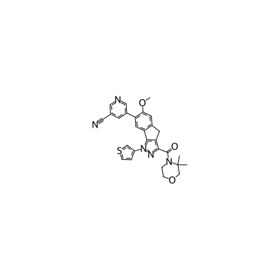 COc1cc2c(cc1-c1cncc(C#N)c1)-c1c(c(C(=O)N3CCOCC3(C)C)nn1-c1ccsc1)C2